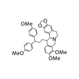 COc1ccc(C(CCC2c3ccc(OC)c(OC)c3CN3CCc4cc5c(cc4C23)OCO5)c2ccc(OC)cc2)cc1